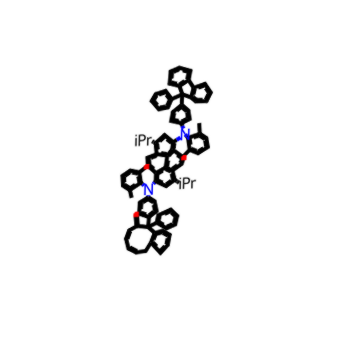 C=C1/C=C\C=C/Cc2ccccc2C1(c1ccccc1)c1ccc(N(c2c(C)cccc2C)c2cc(C(C)C)c3ccc4c(N(c5ccc(C6(c7ccccc7)c7ccccc7-c7ccccc76)cc5)c5c(C)cccc5C)cc(C(C)C)c5ccc2c3c54)cc1